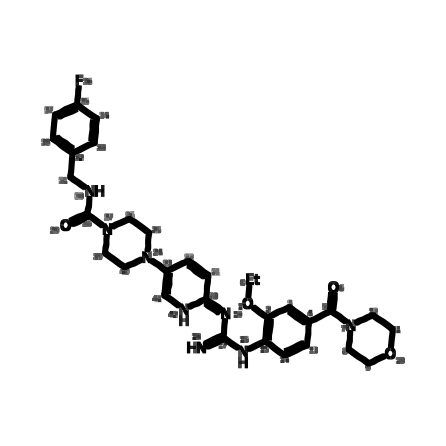 CCOc1cc(C(=O)N2CCOCC2)ccc1NC(=N)/N=c1/ccc(N2CCN(C(=O)NCc3ccc(F)cc3)CC2)c[nH]1